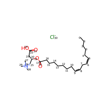 CCCCC/C=C\C/C=C\CCCCCCCC(=O)O[C@H](CC(=O)O)C[N+](C)(C)C.[Cl-]